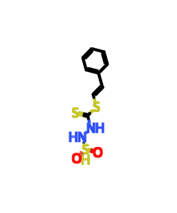 O=[SH](=O)NNC(=S)SC=Cc1ccccc1